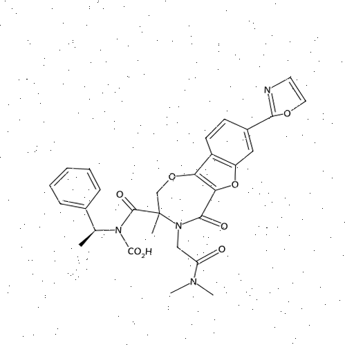 C[C@@H](c1ccccc1)N(C(=O)O)C(=O)C1(C)COc2c(oc3cc(-c4ncco4)ccc23)C(=O)N1CC(=O)N(C)C